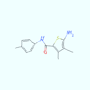 Cc1ccc(NC(=O)c2sc(N)c(C)c2C)cc1